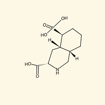 O=C(O)[C@@H]1C[C@H]2[C@H](CCC[C@@H]2P(=O)(O)O)CN1